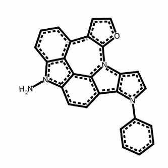 Nn1c2cccc3c4ccoc4n4c5ccn(-c6ccccc6)c5c5ccc1c(c32)c54